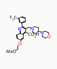 COCCOc1ccc2nc(-c3cccc(C(F)(F)F)c3)c(CN3CCC(N4CCOCC4)CC3)c(C(=O)O)c2c1